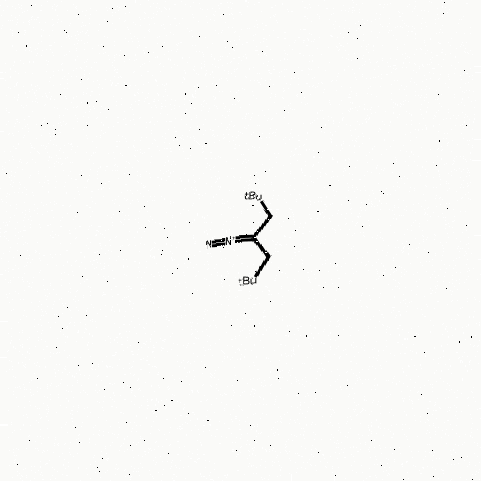 CC(C)(C)CC(CC(C)(C)C)=[N+]=[N-]